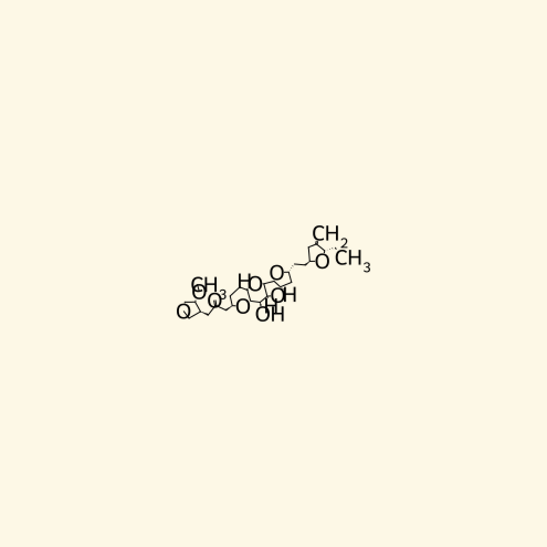 C=C1C[C@H](CC[C@@H]2C[C@H]3O[C@@H]4C(O[C@H]5CC[C@H](CC(=O)C[C@H]6COC[C@@H]6OC)OC5[C@@H]4O)C3O2)O[C@H]1CC